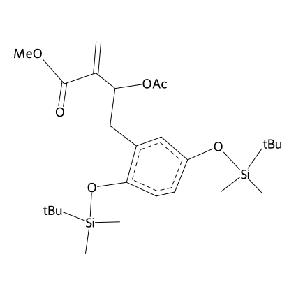 C=C(C(=O)OC)C(Cc1cc(O[Si](C)(C)C(C)(C)C)ccc1O[Si](C)(C)C(C)(C)C)OC(C)=O